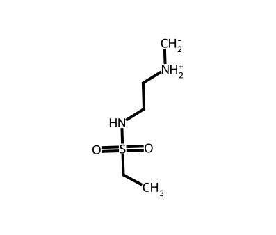 [CH2-][NH2+]CCNS(=O)(=O)CC